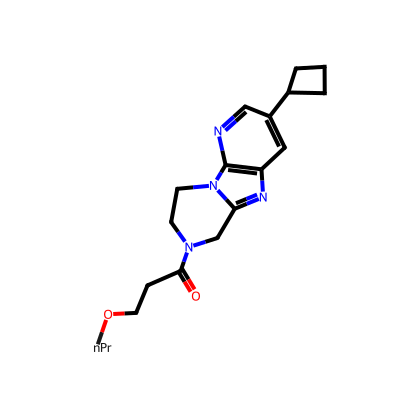 CCCOCCC(=O)N1CCn2c(nc3cc(C4CCC4)cnc32)C1